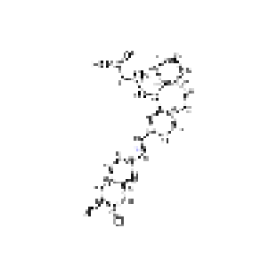 O=C(O)CCOC1c2cc(/C=C/c3ccc4cc(F)c(Cl)cc4n3)ccc2C=Cc2cccc(Cl)c21